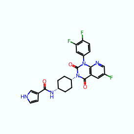 O=C(N[C@H]1CC[C@@H](n2c(=O)c3cc(F)cnc3n(-c3ccc(F)c(F)c3)c2=O)CC1)c1cc[nH]c1